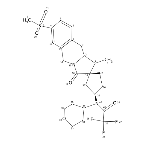 CC1C2Cc3ccc(S(C)(=O)=O)cc3CN2C(=O)[C@]12CC[C@@H](N(C(=O)C(F)(F)F)C1CCOCC1)C2